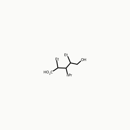 CCCC(C(CC)CO)C(CC)C(=O)O